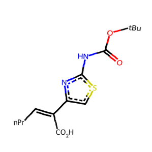 CCC/C=C(\C(=O)O)c1csc(NC(=O)OC(C)(C)C)n1